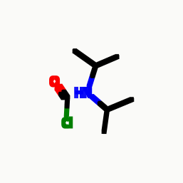 CC(C)NC(C)C.O=CCl